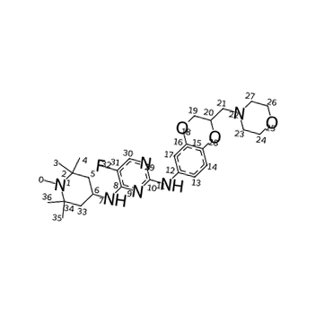 CN1C(C)(C)CC(Nc2nc(Nc3ccc4c(c3)OCC(CN3CCOCC3)O4)ncc2F)CC1(C)C